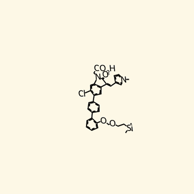 Cn1ccc(/C=C2\C(=O)N(CC(=O)O)c3cc(Cl)c(-c4ccc(-c5ccccc5OCOCC[Si](C)(C)C)cc4)cc32)c1